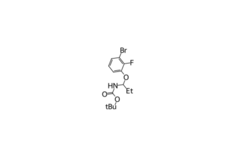 CCC(NC(=O)OC(C)(C)C)Oc1cccc(Br)c1F